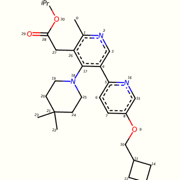 Cc1ncc(-c2ccc(OCC3CCC3)cn2)c(N2CCC(C)(C)CC2)c1CC(=O)OC(C)C